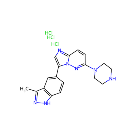 Cc1n[nH]c2ccc(-c3cnc4ccc(N5CCNCC5)nn34)cc12.Cl.Cl.Cl